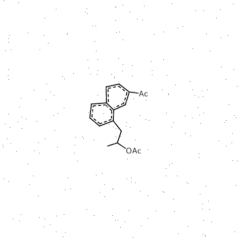 CC(=O)OC(C)Cc1cccc2ccc(C(C)=O)cc12